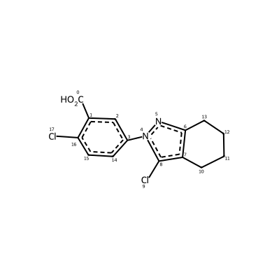 O=C(O)c1cc(-n2nc3c(c2Cl)CCCC3)ccc1Cl